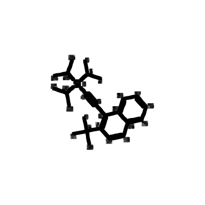 CC(C)[Si](C#Cc1c(C(C)(C)C)ccc2ccccc12)(C(C)C)C(C)C